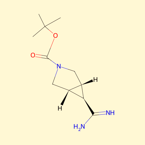 CC(C)(C)OC(=O)N1C[C@@H]2[C@H](C1)[C@H]2C(=N)N